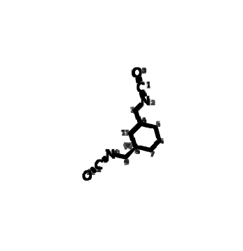 O=C=NCC1CCC[C@@H](CN=C=O)C1